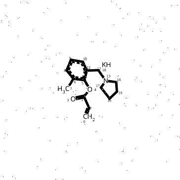 C=CC(=O)Oc1c(C)cccc1CN1CCCC1.[KH]